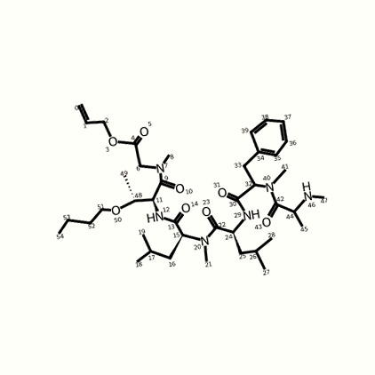 C=CCOC(=O)CN(C)C(=O)[C@@H](NC(=O)[C@H](CC(C)C)N(C)C(=O)[C@H](CC(C)C)NC(=O)C(Cc1ccccc1)N(C)C(=O)C(C)NC)[C@@H](C)OCCCC